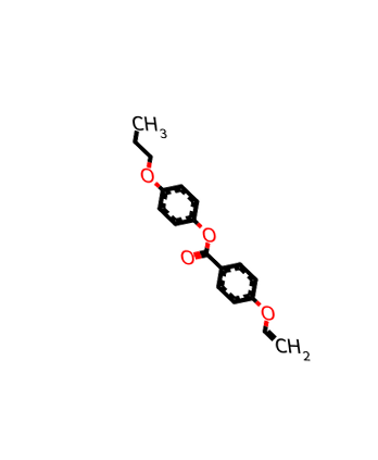 C=COc1ccc(C(=O)Oc2ccc(OCCC)cc2)cc1